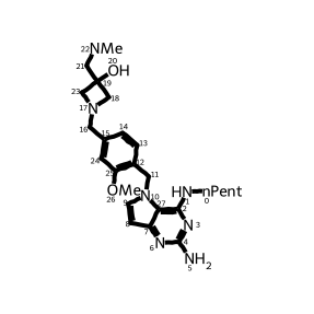 CCCCCNc1nc(N)nc2ccn(Cc3ccc(CN4CC(O)(CNC)C4)cc3OC)c12